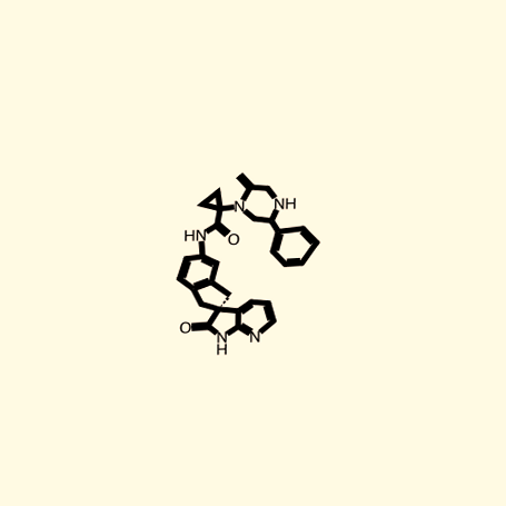 C=C1CNC(c2ccccc2)CN1C1(C(=O)Nc2ccc3c(c2)C[C@@]2(C3)C(=O)Nc3ncccc32)CC1